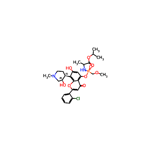 COCP(=O)(NC(C)C(=O)OC(C)C)Oc1cc(O)c([C@@H]2CCN(C)C[C@@H]2O)c2oc(-c3ccccc3Cl)cc(=O)c12